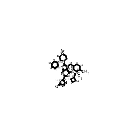 CC(=O)N1CCN(c2nc3nc(-c4noc(=O)[nH]4)nc(N[C@H](C)C4CCC4)c3n2CC2CCC(C)CC2)[C@H](c2ccccc2)C1